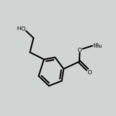 CC(C)(C)OC(=O)c1cccc(CCO)c1